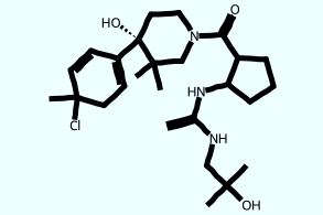 C=C(NCC(C)(C)O)NC1CCCC1C(=O)N1CC[C@](O)(C2=CCC(C)(Cl)C=C2)C(C)(C)C1